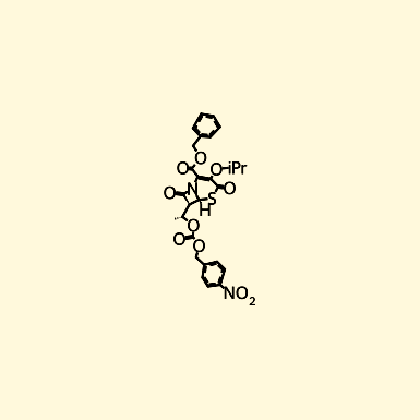 CC(C)OC1=C(C(=O)OCc2ccccc2)N2C(=O)[C@H]([C@@H](C)OC(=O)OCc3ccc([N+](=O)[O-])cc3)[C@@H]2SC1=O